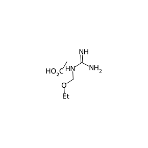 CC(=O)O.CCOCNC(=N)N